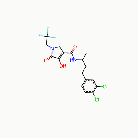 CC(CCc1ccc(Cl)c(Cl)c1)NC(=O)C1=C(O)C(=O)N(CC(F)(F)F)C1